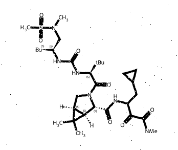 CC[C@H](C)[C@@H](CN(C)S(C)(=O)=O)NC(=O)N[C@H](C(=O)N1C[C@H]2[C@@H]([C@H]1C(=O)NC(CC1CC1)C(=O)C(=O)NC)C2(C)C)C(C)(C)C